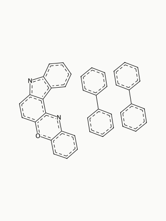 c1ccc(-c2ccccc2)cc1.c1ccc(-c2ccccc2)cc1.c1ccc2oc3ccc4nc5ccccc5c4c3nc2c1